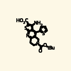 CC(C)(C)OC(=O)N1CCc2nc3sc(C(=O)O)c(N)c3c(-c3cccs3)c2C1